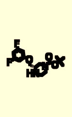 CC(C)(C)OC(=O)N1CCN[C@H](COc2cc(F)cc(F)c2)C1